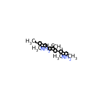 C/C=C/c1ccc2c(c1)C(C)(N)c1cc(-c3ccc4c(c3)C(C)(C)c3cc(-c5ccc6c(c5)C(C)(N)c5cc(C)ccc5-6)ccc3-4)ccc1-2